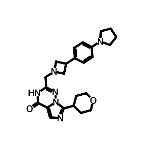 O=c1[nH]c(CN2CC(c3ccc(N4CCCC4)cc3)C2)nn2c(C3CCOCC3)ncc12